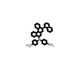 Cc1ccc(N(c2ccc(C)cc2)c2cc3cc(-c4cccc5ccccc45)c4ccccc4c3c3ccccc23)cc1